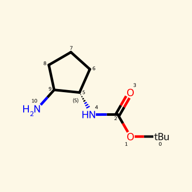 CC(C)(C)OC(=O)N[C@H]1CCCC1N